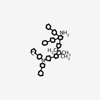 CC1(C)CC(C)(c2ccc(-c3ccc(N)c(-c4ccc(-c5ccccc5)cc4)c3-c3ccc(-c4ccccc4)cc3)cc2)c2cc(-c3ccc(N(c4ccc(-c5ccccc5)cc4)c4ccc(-c5ccccc5)cc4)cc3)ccc21